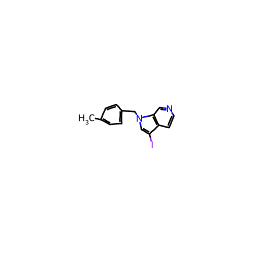 Cc1ccc(Cn2cc(I)c3ccncc32)cc1